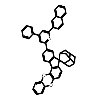 c1ccc(-c2cc(-c3ccc4c(c3)C3(c5ccc6c(c5-4)Oc4ccccc4O6)C4CC5CC(C4)CC3C5)nc(-c3ccc4ccccc4c3)c2)cc1